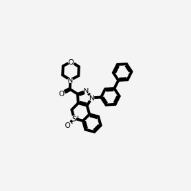 O=C(c1nn(-c2cccc(-c3ccccc3)c2)c2c1C[S+]([O-])c1ccccc1-2)N1CCOCC1